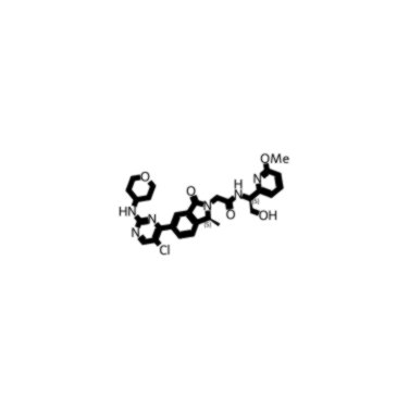 COc1cccc([C@@H](CO)NC(=O)CN2C(=O)c3cc(-c4nc(NC5CCOCC5)ncc4Cl)ccc3[C@@H]2C)n1